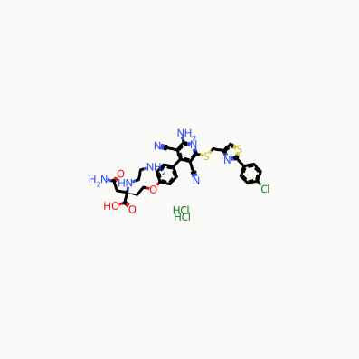 Cl.Cl.N#Cc1c(N)nc(SCc2csc(-c3ccc(Cl)cc3)n2)c(C#N)c1-c1ccc(OCC[C@@](CC(N)=O)(NCCN)C(=O)O)cc1